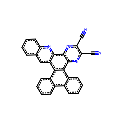 N#Cc1nc2c3nc4ccccc4cc3c3c4ccccc4c4ccccc4c3c2nc1C#N